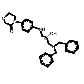 O=C1COCCN1c1ccc(NC[C@H](O)CN(Cc2ccccc2)Cc2ccccc2)cc1